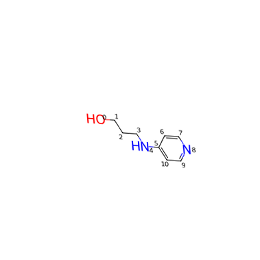 OCCCNc1ccncc1